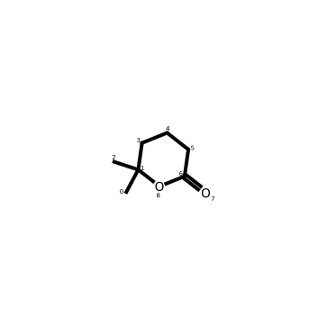 CC1(C)CCCC(=O)O1